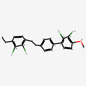 CCc1ccc(CCc2ccc(-c3ccc(OC)c(F)c3F)cc2)c(F)c1F